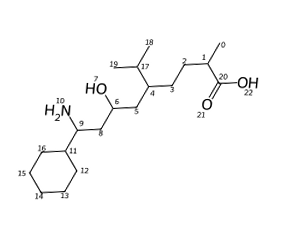 CC(CCC(CC(O)CC(N)C1CCCCC1)C(C)C)C(=O)O